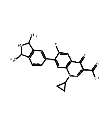 CC1NC(C)c2cc(-c3cc4c(cc3F)c(=O)c(C(=O)O)cn4C3CC3)ccc21